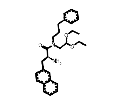 CCOC(CN(CCCc1ccccc1)C(=O)[C@@H](N)Cc1ccc2ccccc2c1)OCC